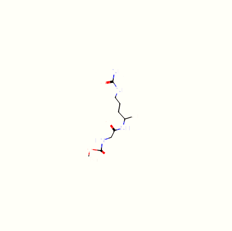 CC(CCCNC(N)=O)NC(=O)CNC(=O)OC(C)(C)C